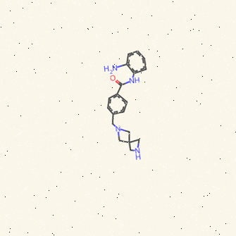 Nc1ccccc1NC(=O)c1ccc(CN2CC3(CNC3)C2)cc1